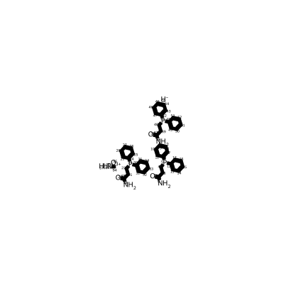 NC(=O)CCP(c1ccccc1)c1ccccc1.NC(=O)CCP(c1ccccc1)c1ccccc1.NC(=O)CCP(c1ccccc1)c1ccccc1.[C]=O.[H-].[H-].[H-].[Rh+3]